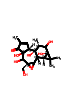 CC1=C[C@H]2[C@@]3(O)[C@H](C)C(O)[C@]4(O)[C@H]([C@@H]3C3O[C@@]3(CO)C(O)[C@]2(O)C1=O)C4(C)C